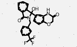 O=C1COc2ccc(C3(O)c4ccccc4C(=O)N3Cc3cccc(C(F)(F)F)c3)cc2N1